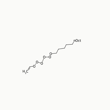 C=COOOOOOCCCCCCCCCCCCC